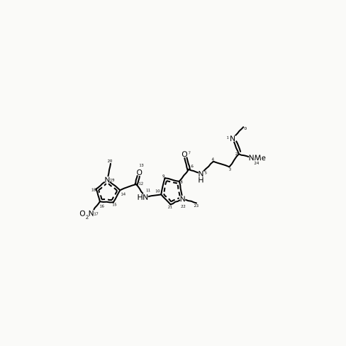 CN=C(CCNC(=O)c1cc(NC(=O)c2cc([N+](=O)[O-])cn2C)cn1C)NC